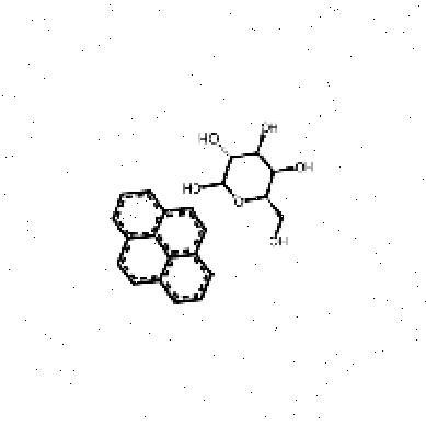 OC[C@H]1OC(O)[C@H](O)[C@@H](O)[C@H]1O.c1cc2ccc3cccc4ccc(c1)c2c34